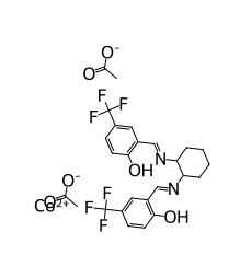 CC(=O)[O-].CC(=O)[O-].Oc1ccc(C(F)(F)F)cc1C=NC1CCCCC1N=Cc1cc(C(F)(F)F)ccc1O.[Co+2]